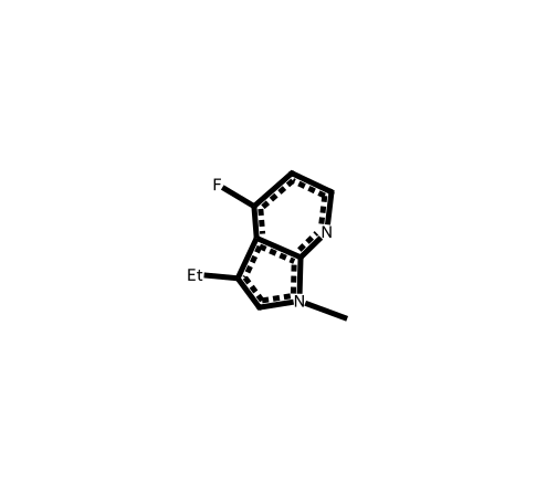 CCc1cn(C)c2nccc(F)c12